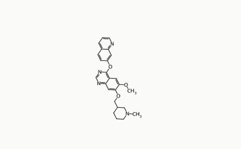 COc1cc2c(Oc3ccc4cccnc4c3)ncnc2cc1OCC1CCCN(C)C1